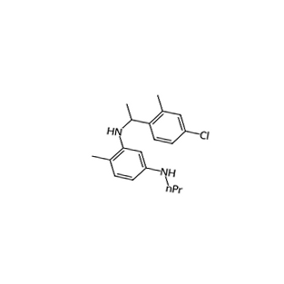 CCCNc1ccc(C)c(NC(C)c2ccc(Cl)cc2C)c1